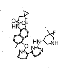 Cc1ccc2c(NS(=O)(=O)CC3(F)CC3)c(F)ccc2c1Oc1ncccc1-c1ccnc(N[C@@H]2CNC[C@@](C)(F)C2)n1